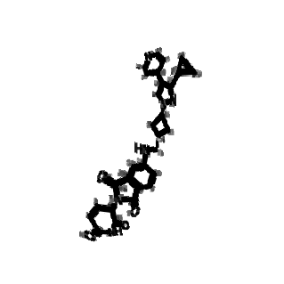 O=C1CCC(N2C(=O)c3ccc(NC[C@H]4C[C@H](n5cc(-c6ccncc6)c(C6CC6)n5)C4)cc3C2=O)C(=O)N1